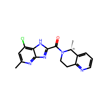 Cc1cc(Cl)c2[nH]c(C(=O)N3CCc4ncccc4[C@H]3C)nc2n1